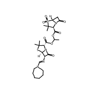 CC(OC(=O)[C@@H]1N2C(=O)[C@@H](N=CN3CCCCCC3)[C@H]2SC1(C)C)OC(=O)[C@@H]1N2C(=O)C[C@H]2S(=O)(=O)C1(C)C